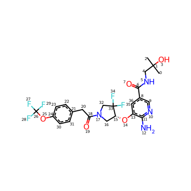 CC(C)(O)CNC(=O)c1cnc(N)c(O[C@@H]2CN(C(=O)Cc3ccc(OC(F)(F)F)cc3)CC2(F)F)c1